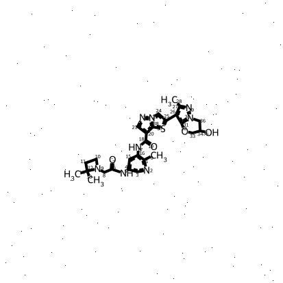 Cc1ncc(NC(=O)CN2CCC2(C)C)cc1NC(=O)c1cnn2cc(-c3c(C)nn4c3OCC(O)C4)sc12